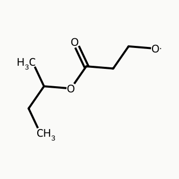 CCC(C)OC(=O)CC[O]